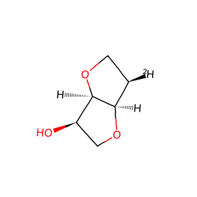 [2H][C@@H]1CO[C@H]2[C@@H]1OC[C@H]2O